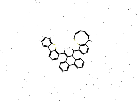 C/C(=C1/c2ccccc2-c2ccccc2C1C(C)c1cccc2c1SC/C=C\C=C/C2C)c1cccc2c1sc1ccccc12